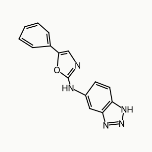 c1ccc(-c2cnc(Nc3ccc4[nH]nnc4c3)o2)cc1